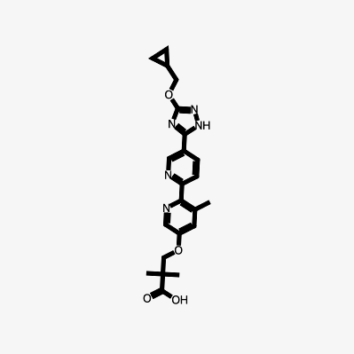 Cc1cc(OCC(C)(C)C(=O)O)cnc1-c1ccc(-c2nc(OCC3CC3)n[nH]2)cn1